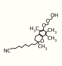 Cc1c(C)c2c(c(C)c1OCOCO)CCC(C)(CCCCCCCCC#N)O2